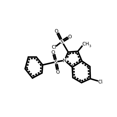 Cc1c(S(=O)(=O)Cl)n(S(=O)(=O)c2ccccc2)c2ccc(Cl)cc12